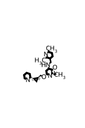 Cc1ccc(CNc2cc(OC[C@H]3C[C@@H]3c3ccccn3)nn(C)c2=O)c(C)n1